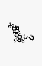 C=C(C)[C@@H]1CC[C@]2(C(=O)NCCc3ccccn3)CC[C@]3(C)[C@H](CC[C@@H]4[C@@]5(C)CC[C@H](OC(C)=O)C(C)(C)[C@@H]5CC[C@]43C)[C@@H]12